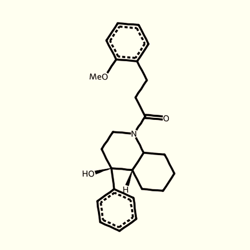 COc1ccccc1CCC(=O)N1CC[C@@](O)(c2ccccc2)[C@H]2CCCCC21